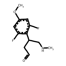 CNCC(CC=O)c1c(F)cc(OC)cc1F